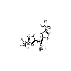 C[SiH](C)[Hf]([C]1=CC([Si](C)(C)C)=CC1)[C]1=CC([Si](C)(C)C)=CC1